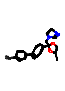 CC1COC(Cn2ccnc2)(c2ccc(-c3ccc(C(C)(C)C)cc3)cc2)O1